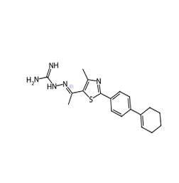 C/C(=N\NC(=N)N)c1sc(-c2ccc(C3=CCCCC3)cc2)nc1C